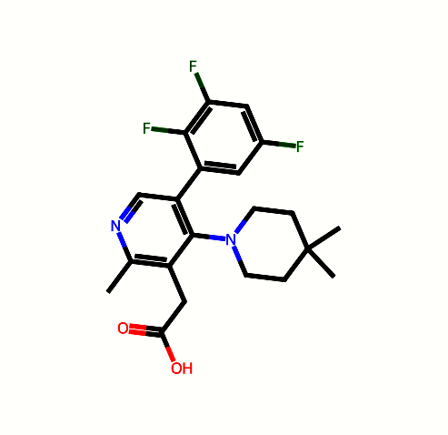 Cc1ncc(-c2cc(F)cc(F)c2F)c(N2CCC(C)(C)CC2)c1CC(=O)O